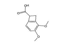 COc1ccc2c(c1OC)CC2C(=O)O